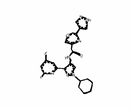 O=C(Nc1cn(C2CCCCC2)nc1-c1cc(F)cc(F)n1)c1coc(-c2cn[nH]c2)n1